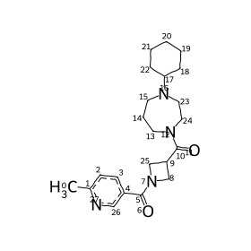 Cc1ccc(C(=O)N2CC(C(=O)N3CCCN(C4CCCCC4)CC3)C2)cn1